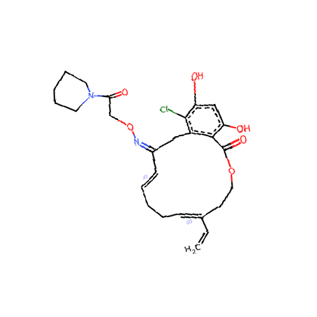 C=C/C1=C\CC/C=C/C(=NOCC(=O)N2CCCCC2)Cc2c(Cl)c(O)cc(O)c2C(=O)OCC1